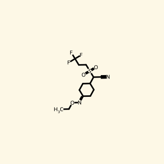 CCON=C1CCC(C(C#N)S(=O)(=O)CCC(F)(F)F)CC1